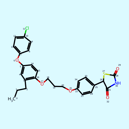 CCCc1cc(Oc2ccc(Cl)cc2)ccc1OCCCOc1ccc(C2SC(=O)NC2=O)cc1